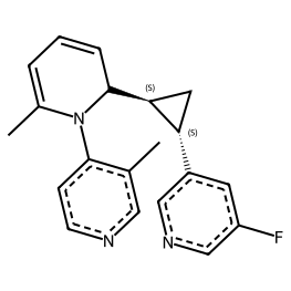 CC1=CC=CC([C@H]2C[C@@H]2c2cncc(F)c2)N1c1ccncc1C